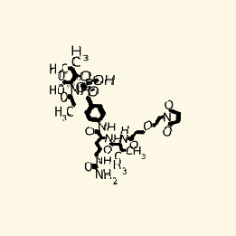 CCC(=O)N[C@H](C(=O)O)[C@H](OP(=O)(O)OCc1ccc(NC(=O)C(CCCNC(N)=O)NC(=O)C(NC(=O)CCOCCN2C(=O)C=CC2=O)C(C)C)cc1)C(C)C